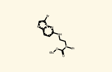 CC(C)N(CCNc1ccc2ncc(Br)n2n1)C(=O)OC(C)(C)C